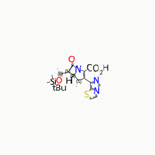 C[C@@H](O[Si](C)(C)C(C)(C)C)[C@H]1C(=O)N2C(C(=O)O)=C(c3ncn4ccsc34)[C@H](C)[C@H]12